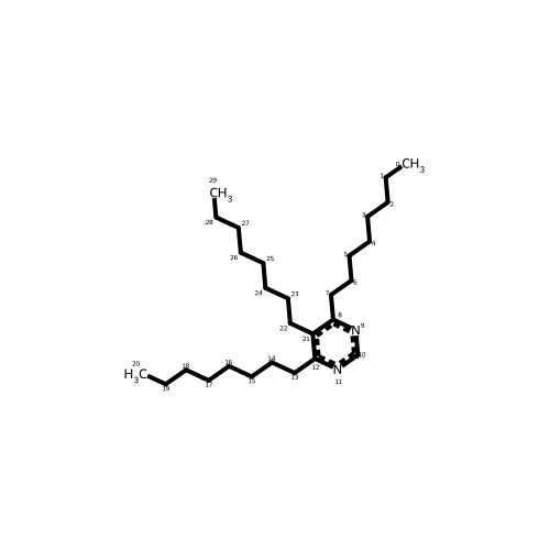 CCCCCCCCc1n[c]nc(CCCCCCCC)c1CCCCCCCC